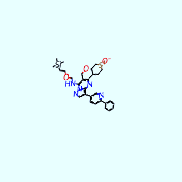 C[Si](C)(C)CCOCNc1c(C=O)c(C2CC[S+]([O-])CC2)nc2c(-c3ccc(-c4ccccc4)nc3)cnn12